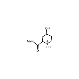 CNC(=O)C1CC(O)CCN1.Cl